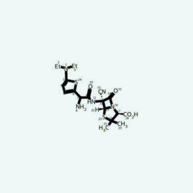 CCN(CC)c1ccc(C(N)C(=O)N[C@@]2(C#N)C(=O)N3[C@@H](C(=O)O)C(C)(C)S[C@@H]32)s1